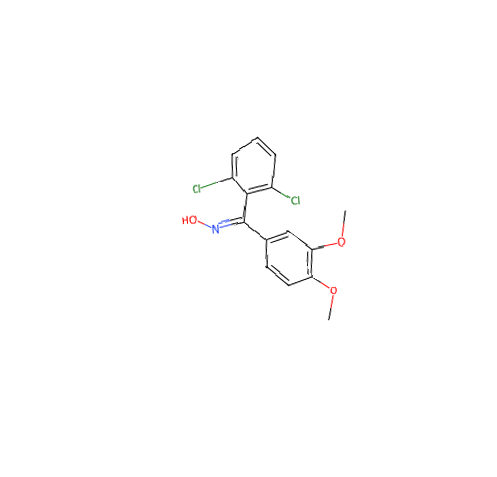 COc1ccc(C(=NO)c2c(Cl)cccc2Cl)cc1OC